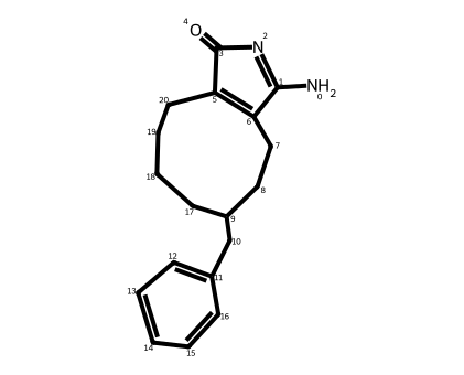 NC1=NC(=O)C2=C1CCC(Cc1ccccc1)CCCC2